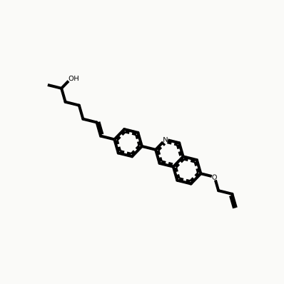 C=CCOc1ccc2cc(-c3ccc(/C=C/CCCC(C)O)cc3)ncc2c1